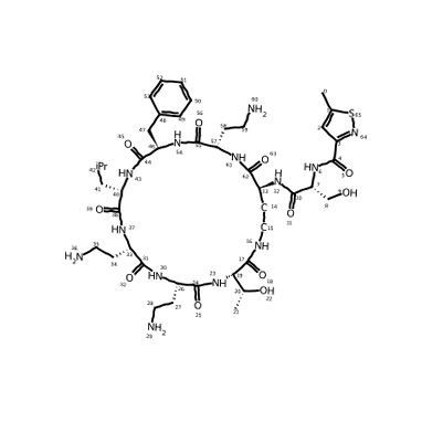 Cc1cc(C(=O)N[C@H](CO)C(=O)N[C@H]2CCNC(=O)[C@H]([C@@H](C)O)NC(=O)[C@H](CCN)NC(=O)[C@H](CCN)NC(=O)[C@H](CC(C)C)NC(=O)[C@@H](Cc3ccccc3)NC(=O)[C@H](CCN)NC2=O)ns1